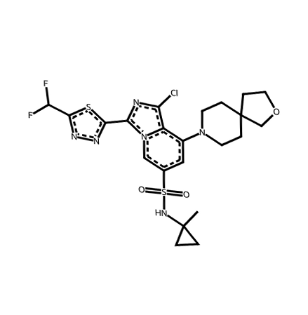 CC1(NS(=O)(=O)c2cc(N3CCC4(CCOC4)CC3)c3c(Cl)nc(-c4nnc(C(F)F)s4)n3c2)CC1